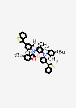 Cc1cc2c3c(c1)N(c1c(C)cc(-c4csc5ccccc45)cc1C)c1c(oc4ccc(C(C)(C)C)cc14)B3c1ccc(-c3csc4ccccc34)cc1N2c1c(C)cc(C(C)(C)C)cc1C